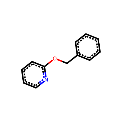 [CH](Oc1ccccn1)c1ccccc1